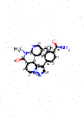 Cc1ccc(N(C)C(=O)c2ccn3ncc(-c4ccc(C(N)=O)cc4)c3c2)nc1